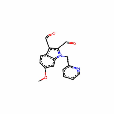 COc1ccc2c(C=O)c(C=O)n(Cc3ccccn3)c2c1